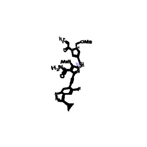 C=CC(=O)N1CC(/[SH]=[N+]2/N=C(C#Cc3cc4nncc(C5CC5)c4cc3F)C(C(N)=O)=C2NC)C[C@@H]1COC